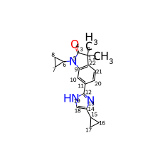 CC1(C)C(=O)N(C2CC2)c2cc(-c3nc(C4CC4)c[nH]3)ccc21